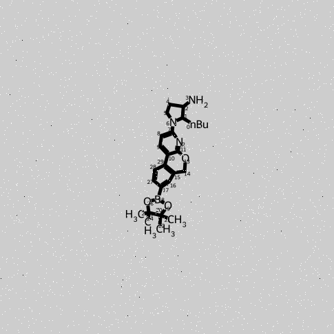 CCCCC1C(N)CCN1c1ccc2c(n1)OCc1cc(B3OC(C)(C)C(C)(C)O3)ccc1-2